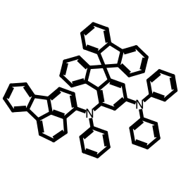 c1ccc(N(c2ccccc2)c2cc(N(c3ccccc3)c3ccc4c5c(cccc35)-c3ccccc3-4)c3c(c2)C2(c4ccccc4-c4ccccc42)c2ccccc2-3)cc1